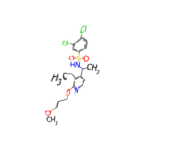 CCc1c(C(C)NS(=O)(=O)c2ccc(Cl)c(Cl)c2)ccnc1OCCCOC